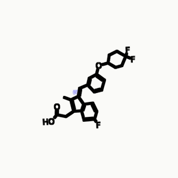 CC1=C(CC(=O)O)c2cc(F)ccc2/C1=C\c1cccc(OC2CCC(F)(F)CC2)c1